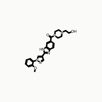 COc1ccccc1-n1cc(-c2nc3ccc(C(=O)N4CCN(CCO)CC4)cc3[nH]2)cn1